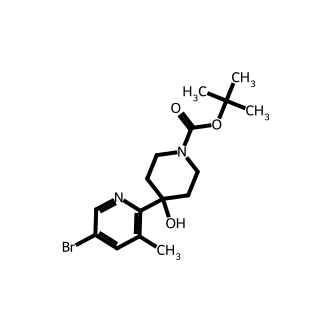 Cc1cc(Br)cnc1C1(O)CCN(C(=O)OC(C)(C)C)CC1